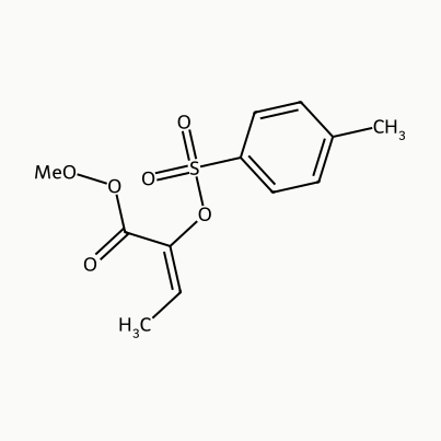 CC=C(OS(=O)(=O)c1ccc(C)cc1)C(=O)OOC